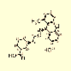 Cc1ccccc1C(=NOCCN1CCCC(C(=O)O)C1)c1ccccc1Cl.Cl